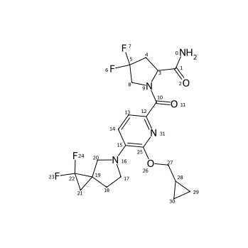 NC(=O)C1CC(F)(F)CN1C(=O)c1ccc(N2CCC3(C2)CC3(F)F)c(OCC2CC2)n1